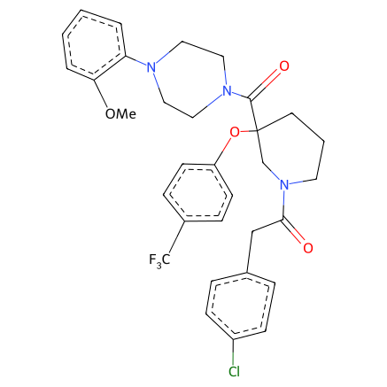 COc1ccccc1N1CCN(C(=O)C2(Oc3ccc(C(F)(F)F)cc3)CCCN(C(=O)Cc3ccc(Cl)cc3)C2)CC1